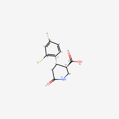 O=C1C[C@H](c2ccc(F)cc2F)[C@@H](C(=O)O)CN1